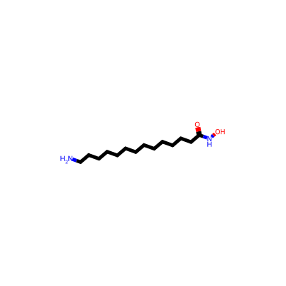 NCCCCCCCCCCCCCC(=O)NO